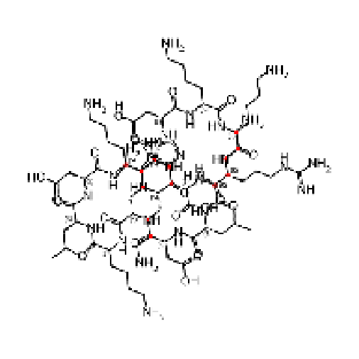 CC(C)C[C@H](NC(=O)[C@H](CCCCN)NC(=O)[C@H](CCCCN)NC(=O)[C@H](CC(=O)O)NC(=O)[C@H](CC(C)C)NC(=O)[C@H](CCCCN)NC(=O)[C@H](CCCCN)NC(=O)[C@H](CC(=O)O)NC(=O)[C@H](CC(C)C)NC(=O)[C@@H](N)CCCCN)C(=O)N[C@@H](CC(=O)O)C(=O)N[C@@H](CCCCN)C(=O)N[C@@H](CCCCN)C(=O)N[C@@H](CCCNC(=N)N)C(=O)N[C@@H](Cc1c[nH]cn1)C(=O)O